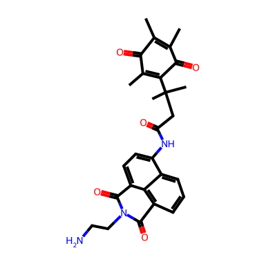 CC1=C(C)C(=O)C(C(C)(C)CC(=O)Nc2ccc3c4c(cccc24)C(=O)N(CCN)C3=O)=C(C)C1=O